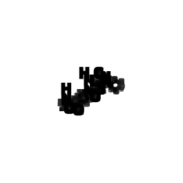 Cc1nn(C2CCCCC2)c2sc(C(=O)Nc3ccc(C(=O)C4CNCCO4)cc3)cc12